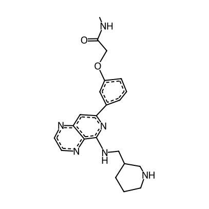 CNC(=O)COc1cccc(-c2cc3nccnc3c(NCC3CCCNC3)n2)c1